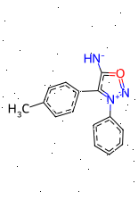 Cc1ccc(-c2c([NH-])on[n+]2-c2ccccc2)cc1